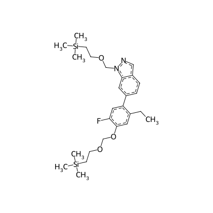 CCc1cc(OCOCC[Si](C)(C)C)c(F)cc1-c1ccc2cnn(COCC[Si](C)(C)C)c2c1